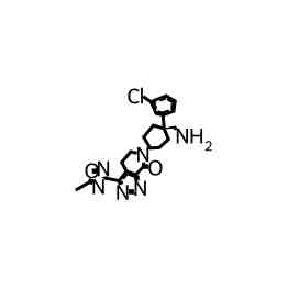 Cc1nc(-c2ncnc3c2CCN([C@H]2CC[C@@](CN)(c4cccc(Cl)c4)CC2)C3=O)no1